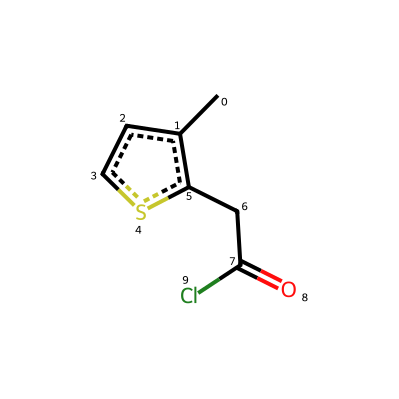 Cc1ccsc1CC(=O)Cl